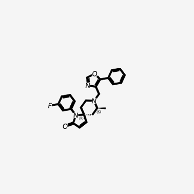 C[C@H]1C[C@@]2(C=CC(=O)N2c2cccc(F)c2)CCN1Cc1ncoc1-c1ccccc1